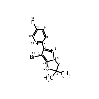 CC1(C)Cn2nc(-c3ccc(F)cn3)c(Br)c2O1